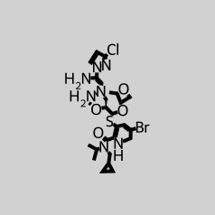 CO[C@@H](CN(N)/C=C(\N)n1ccc(Cl)n1)C(OC1COC1C)SC1=C(C(=O)N(CC2CC2)C(C)C)NCC(Br)=C1